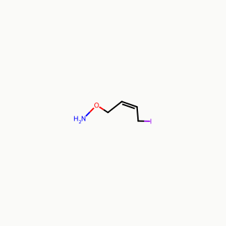 NOC/C=C\CI